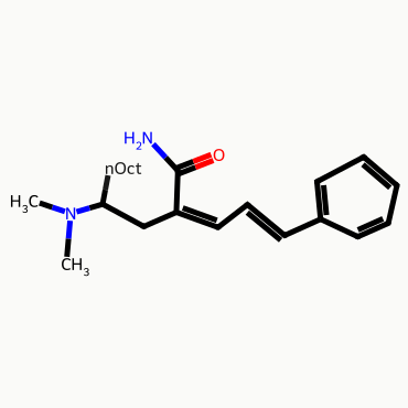 CCCCCCCCC(CC(=CC=Cc1ccccc1)C(N)=O)N(C)C